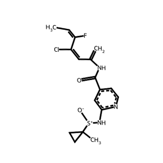 C=C(/C=C(Cl)\C(F)=C/C)NC(=O)c1ccnc(N[S+]([O-])C2(C)CC2)c1